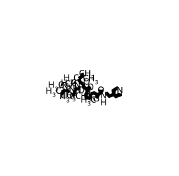 CCC(C)C(C(CC(=O)N1CCCC1CC(SC)C(=O)NCCc1ccncc1)OC)N(C)C(=O)C(NC(=O)C(C(C)C)N(C)C)C(C)C